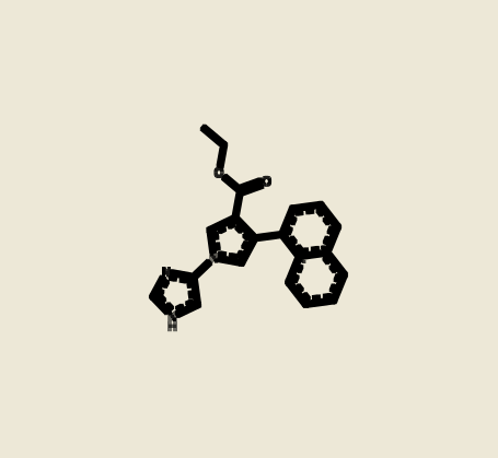 CCOC(=O)c1cn(-c2c[nH]cn2)cc1-c1cccc2ccccc12